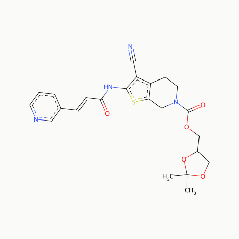 CC1(C)OCC(COC(=O)N2CCc3c(sc(NC(=O)/C=C/c4cccnc4)c3C#N)C2)O1